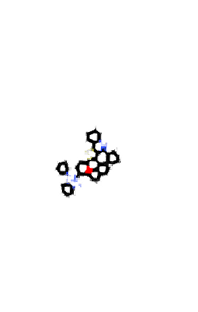 c1ccc(-c2nc3ccccc3c3sc(-c4ccc(-c5nc6ccccc6n5-c5ccccc5)cc4)c(-c4cccc5ccccc45)c23)cc1